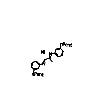 CCCCCc1cccc(/N=C/C(C)=N/c2cccc(CCCCC)c2)c1.[Ni]